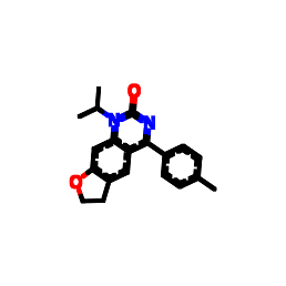 Cc1ccc(-c2nc(=O)n(C(C)C)c3cc4c(cc23)CCO4)cc1